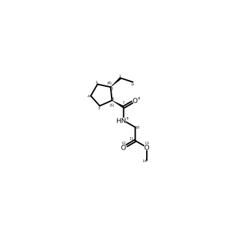 CC[C@@H]1CCC[C@@H]1C(=O)NCC(=O)OC